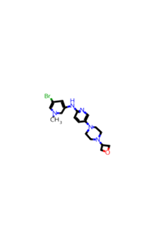 CN1C=C(Br)C=C(Nc2ccc(N3CCN(C4COC4)CC3)cn2)C1